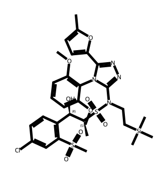 COc1cccc(OC)c1-n1c(-c2ccc(C)o2)nnc1N(CC[Si](C)(C)C)S(=O)(=O)[C@@H](C)[C@H](O)c1ccc(Cl)cc1S(C)(=O)=O